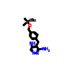 CC(C)(C)[Si](C)(C)OCc1ccc(Cc2c(N)cnnc2N)cc1